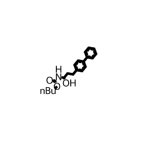 CCCCOC(=O)NC(O)CCc1ccc(-c2ccccc2)cc1